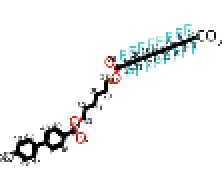 CCOC(=O)C(F)(F)C(F)(F)C(F)(F)C(F)(F)C(F)(F)C(F)(F)C(F)(F)C(F)(F)C(=O)OCCCCCCOC(=O)c1ccc(-c2ccc(OC(C)=O)cc2)cc1